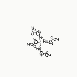 CC(=O)c1cncc(N(CCCNc2cncc(C(=O)O)c2)CCC(CCCNc2cncc(C(=O)O)c2)c2cncc(C(=O)O)c2)c1